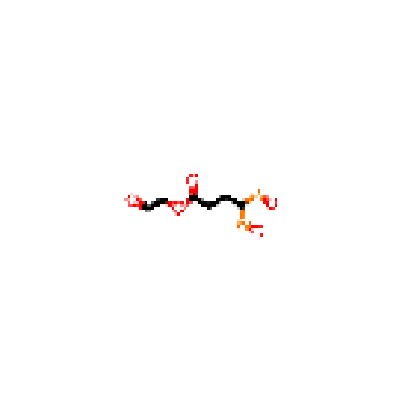 O=CCOC(=O)CCC(P=O)P=O